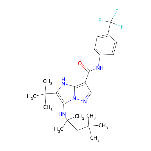 CC(C)(C)CC(C)(C)Nc1c(C(C)(C)C)[nH]c2c(C(=O)Nc3ccc(C(F)(F)F)cc3)cnn12